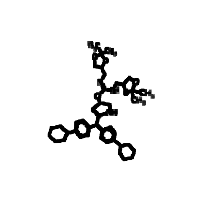 CC1(C)OCC(C/N=C(\NCC2COC(C)(C)O2)O[C@H]2CNC(C(c3ccc(C4CCCCC4)cc3)c3ccc(C4CCCCC4)cc3)C2)O1